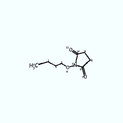 CCCCON1C(=O)CCC1=O